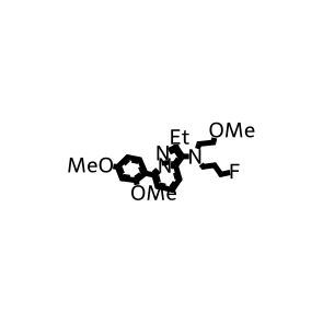 CCc1nn2c(-c3ccc(OC)cc3OC)cccc2c1N(CCCF)CCOC